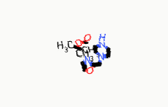 CC(C)(C)OC=O.c1coc(CN2CCNCC2)n1